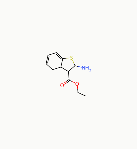 CCOC(=O)C1C(N)SC2=CC=CCC21